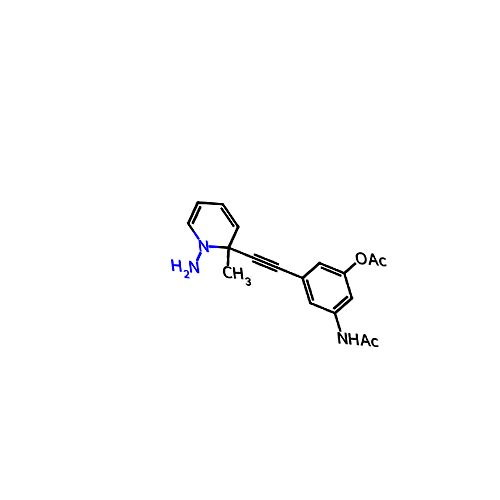 CC(=O)Nc1cc(C#CC2(C)C=CC=CN2N)cc(OC(C)=O)c1